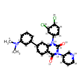 CN(C)c1cccc(-c2ccc3c(=O)n(-c4cccnc4)c(=O)n(-c4ccc(Cl)c(Cl)c4)c3c2)c1